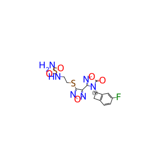 NS(=O)(=O)NCCSc1nonc1-c1noc(=O)n1[C@H]1Cc2ccc(F)cc21